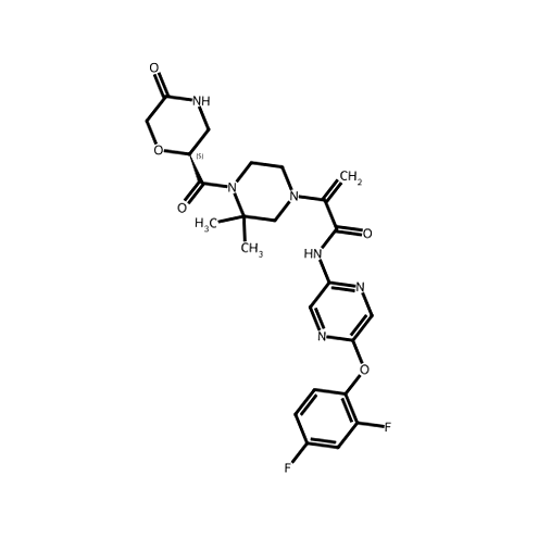 C=C(C(=O)Nc1cnc(Oc2ccc(F)cc2F)cn1)N1CCN(C(=O)[C@@H]2CNC(=O)CO2)C(C)(C)C1